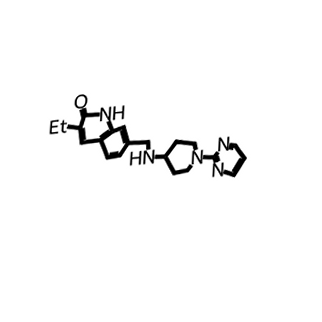 CCc1cc2ccc(CNC3CCN(c4ncccn4)CC3)cc2[nH]c1=O